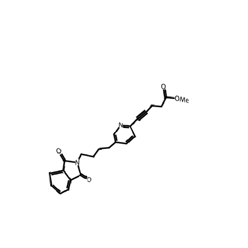 COC(=O)CCC#Cc1ccc(CCCCN2C(=O)c3ccccc3C2=O)cn1